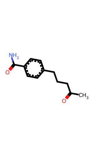 CC(=O)CCCc1ccc(C(N)=O)cc1